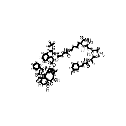 CC(=O)O[C@@]12CO[C@@H]1C[C@H](O)[C@@]1(C)C(=O)[C@H](O)C3=C(C)[C@@H](OC(=O)[C@H](OC(=O)CCC(=O)NCCCCC(NC(=O)CC[C@H](NC(=O)C(C)NC(=O)/C=C/c4cccc(F)c4)C(N)=O)C(N)=O)[C@@H](NC(=O)OC(C)(C)C)c4ccccc4)C[C@@](O)([C@@H](OC(=O)c4ccccc4)[C@H]21)C3(C)C